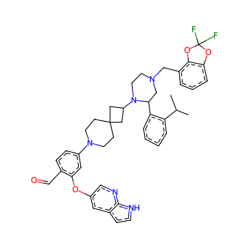 CC(C)c1ccccc1C1CN(Cc2cccc3c2OC(F)(F)O3)CCN1C1CC2(CCN(c3ccc(C=O)c(Oc4cnc5[nH]ccc5c4)c3)CC2)C1